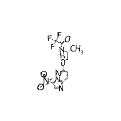 C[C@H](COc1ccc2ncc([N+](=O)[O-])n2n1)NC(=O)C(F)(F)F